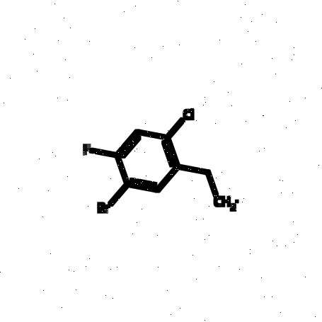 [CH2]Cc1cc(Br)c(F)cc1Cl